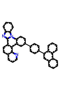 c1ccc2c(c1)cc(-c1ccc(-c3ccc4c(c3)c3c(ccc5cccnc53)c3nc5ccccc5n43)cc1)c1ccccc12